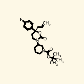 C=CC[C@]1(c2ccc(F)cc2)CCN(C2CCCN(C(=O)OC(C)(C)C)C2)C(=O)O1